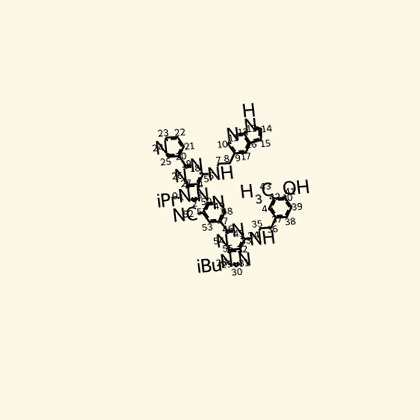 CC(C)n1cnc2c(NCCc3cnc4[nH]ccc4c3)nc(-c3cccnc3)nc21.CCC(C)n1cnc2c(NCCc3ccc(O)c(C)c3)nc(-c3cncc(C#N)c3)nc21